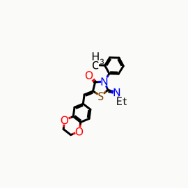 CC/N=C1\S/C(=C\c2ccc3c(c2)OCCO3)C(=O)N1c1ccccc1C